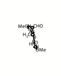 COc1ccc(NC(=O)OCCOc2cc(C)c3nc(-c4cc(C=O)cc5nc(OC)cnc45)sc3c2)cn1